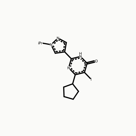 CC(C)n1cc(-c2nc(C3CCCC3)c(I)c(=O)[nH]2)cn1